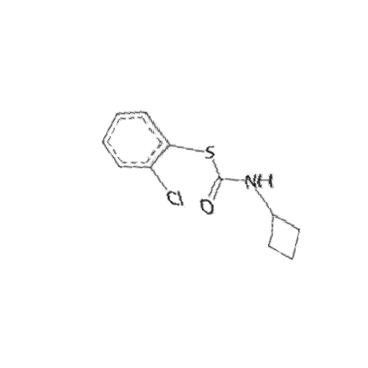 O=C(NC1CCC1)Sc1ccccc1Cl